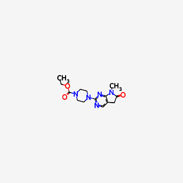 CCOC(=O)N1CCN(c2ncc3c(n2)N(C)C(=O)C3)CC1